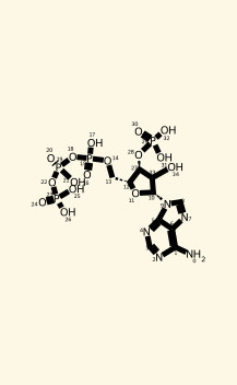 Nc1ncnc2c1ncn2[C@@H]1O[C@H](COP(=O)(O)OP(=O)(O)OP(=O)(O)O)[C@H](OP(=O)(O)O)C1O